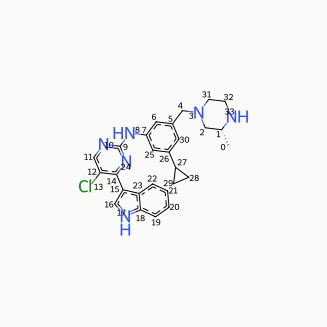 C[C@@H]1CN(Cc2cc(Nc3ncc(Cl)c(-c4c[nH]c5ccccc45)n3)cc(C3CC3)c2)CCN1